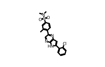 Cc1cc(S(=O)(=O)N(C)C)ccc1-c1cnc2[nH]c(-c3ccccc3Cl)cc2n1